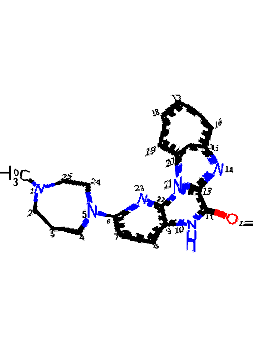 CN1CCCN(c2ccc3[nH]c(=O)c4nc5ccccc5n4c3n2)CC1